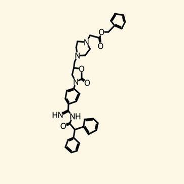 N=C(NC(=O)C(c1ccccc1)c1ccccc1)c1ccc(N2CC(CN3CCN(CC(=O)OCc4ccccc4)CC3)OC2=O)cc1